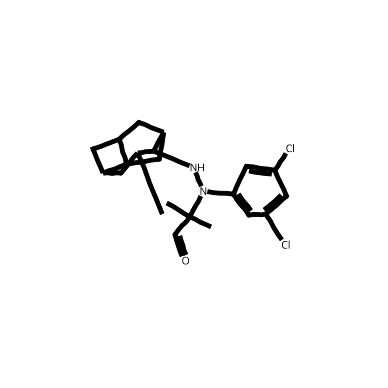 CC1CC2CC3CC(CC23)C1NN(c1cc(Cl)cc(Cl)c1)C(C)(C)C=O